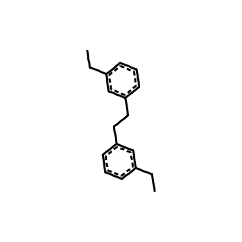 CCc1cccc(CCc2cccc(CC)c2)c1